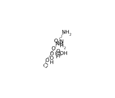 NCCCCC(N)C(=O)NCCOCCOCC(O)COCc1ccccc1.O=C(O)C(F)(F)F